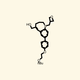 CCCCOCCOc1ccc(-c2ccc3c(c2)/C=C(/CO)CCCN3CC2COC2)cc1